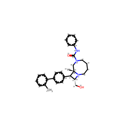 Cc1ccccc1-c1ccc(C2[C@@H](CO)N3CCCCN(C(=O)Nc4ccccc4)C[C@@H]23)cc1